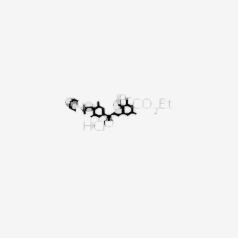 CCOC(=O)c1c(C)cc(C=CC(=O)c2cc(C)c(OC(C)N3CCOCC3)c(C)c2)c(OC(C)C)c1C.Cl